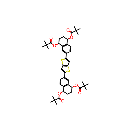 CC(C)(C)C(=O)OC1CCC(OC(=O)C(C)(C)C)c2cc(-c3cc4sc(-c5ccc6c(c5)C(OC(=O)C(C)(C)C)CCC6OC(=O)C(C)(C)C)cc4s3)ccc21